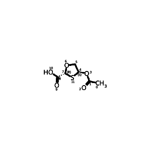 CC(=O)O[C@@H]1CO[C@@H](C(=O)O)S1